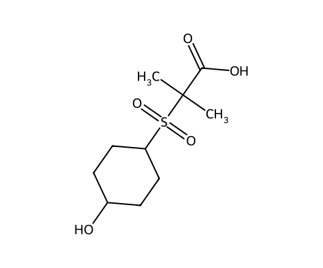 CC(C)(C(=O)O)S(=O)(=O)C1CCC(O)CC1